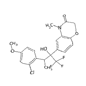 COc1ccc(C(C)C(O)(c2ccc3c(c2)N(C)C(=O)CO3)C(F)(F)F)c(Cl)c1